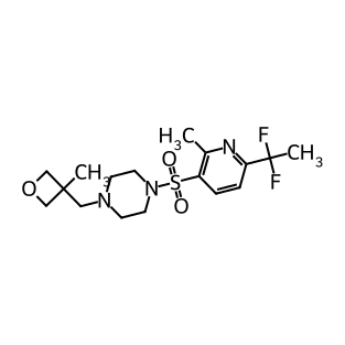 Cc1nc(C(C)(F)F)ccc1S(=O)(=O)N1CCN(CC2(C)COC2)CC1